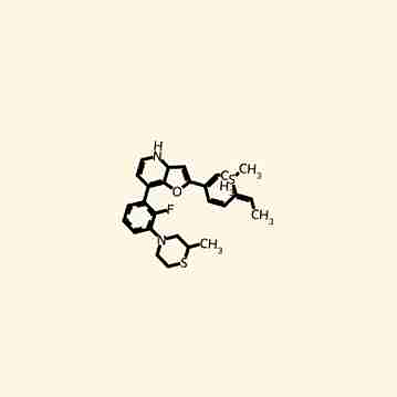 C\C=C(/C=C\C(=C/C)C1=CC2NC=CC(c3cccc(N4CCSC(C)C4)c3F)=C2O1)SC